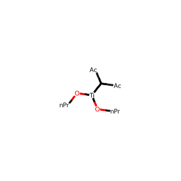 CCC[O][Ti]([O]CCC)[CH](C(C)=O)C(C)=O